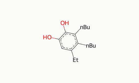 CCCCc1c(CC)cc(O)c(O)c1CCCC